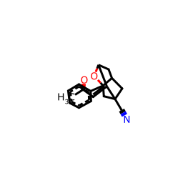 CC(=O)/C=C1\C2CC3CC1(C#N)CC3(c1ccccc1)O2